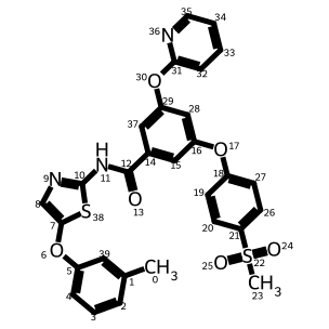 Cc1cccc(Oc2cnc(NC(=O)c3cc(Oc4ccc(S(C)(=O)=O)cc4)cc(Oc4ccccn4)c3)s2)c1